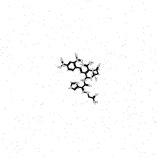 O=C(O)CO/N=C(\C(=O)NC1S[C@@H]2CC(=O)N2C(C(=O)O)=C1/C=C/c1ccc([N+](=O)[O-])cc1[N+](=O)[O-])c1cscn1